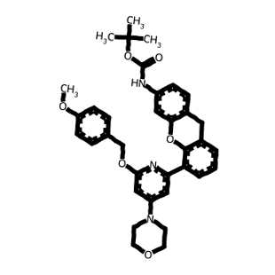 COc1ccc(COc2cc(N3CCOCC3)cc(-c3cccc4c3Oc3cc(NC(=O)OC(C)(C)C)ccc3C4)n2)cc1